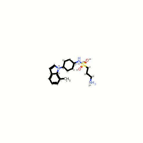 Cc1cccc2ccn(C3CCC(NS(=O)(=O)CCCN)CC3)c12